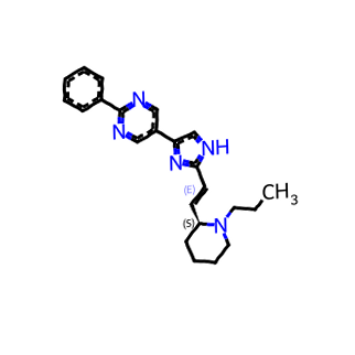 CCCN1CCCC[C@H]1/C=C/c1nc(-c2cnc(-c3ccccc3)nc2)c[nH]1